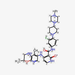 Cc1c(Nc2cc[nH]c(=O)c2C(=O)Nc2ccc(N3CCC(N4CCN(C(C)C)CC4)CC3)c(F)c2)cnc2c1NCC(C)O2